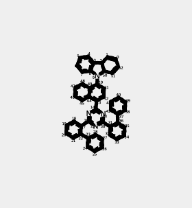 C1=CC2c3ccccc3N(c3ccc(-c4nc(-c5ccccc5-c5ccccc5)nc(-c5ccccc5-c5ccccc5)n4)c4ccccc34)C2C=C1